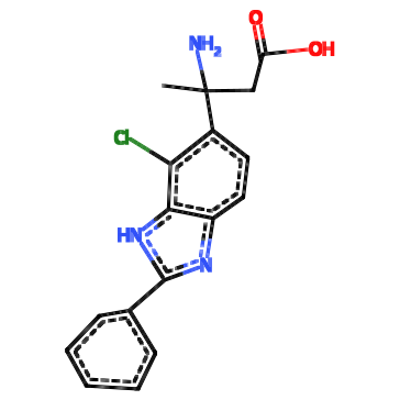 CC(N)(CC(=O)O)c1ccc2nc(-c3ccccc3)[nH]c2c1Cl